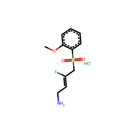 COc1ccccc1S(=O)(=O)C/C(F)=C/CN.Cl